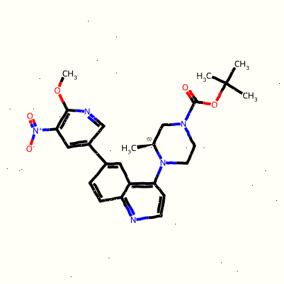 COc1ncc(-c2ccc3nccc(N4CCN(C(=O)OC(C)(C)C)C[C@@H]4C)c3c2)cc1[N+](=O)[O-]